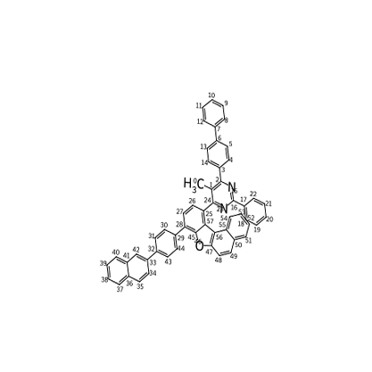 Cc1c(-c2ccc(-c3ccccc3)cc2)nc(-c2ccccc2)nc1-c1ccc(-c2ccc(-c3ccc4ccccc4c3)cc2)c2oc3ccc4ccccc4c3c12